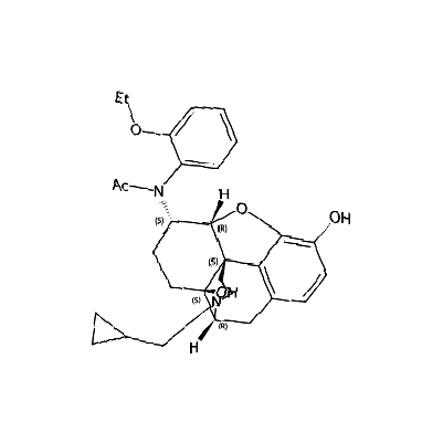 CCOc1ccccc1N(C(C)=O)[C@H]1CC[C@@]2(O)[C@H]3Cc4ccc(O)c5c4[C@@]2(CCN3CC2CC2)[C@H]1O5